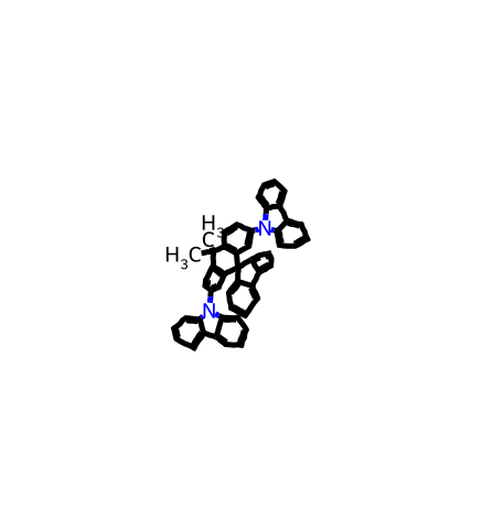 CC1(C)c2ccc(-n3c4ccccc4c4ccccc43)cc2C2(c3ccccc3-c3ccccc32)c2cc(-n3c4ccccc4c4ccccc43)ccc21